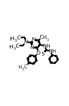 CCN(CC)c1nc(C)c(NC(=S)Nc2ccccc2)c(Oc2ccc(C)cc2)n1